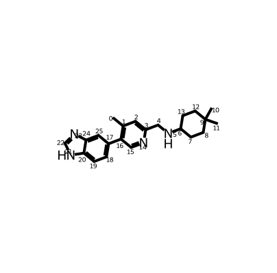 Cc1cc(CNC2CCC(C)(C)CC2)ncc1-c1ccc2[nH]cnc2c1